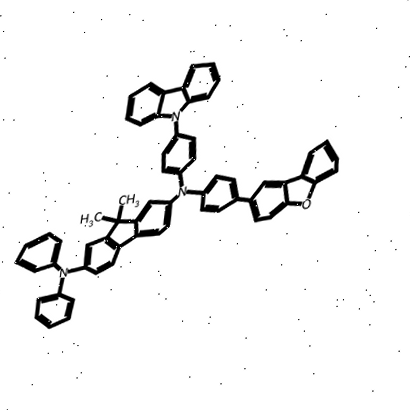 CC1(C)c2cc(N(c3ccccc3)c3ccccc3)ccc2-c2ccc(N(c3ccc(-c4ccc5oc6ccccc6c5c4)cc3)c3ccc(-n4c5ccccc5c5ccccc54)cc3)cc21